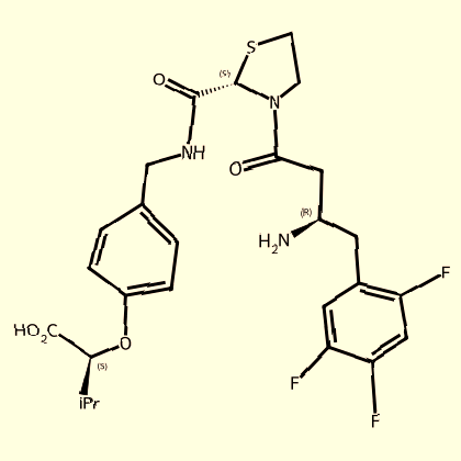 CC(C)[C@H](Oc1ccc(CNC(=O)[C@@H]2SCCN2C(=O)C[C@H](N)Cc2cc(F)c(F)cc2F)cc1)C(=O)O